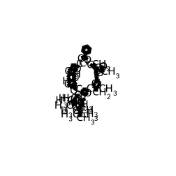 C=C1C[C@@H](OC(=O)c2ccccc2)CC[C@@]23CC4OC5C(O2)[C@H]2OC(CCC2O[C@H]5C4O3)CC(=O)CC2C(CC3OC(CCC1OS(C)(=O)=O)CC(C)C3=C)O[C@H](CC(CO[Si](C)(C)C(C)(C)C)O[Si](C)(C)C(C)(C)C)[C@@H]2OC